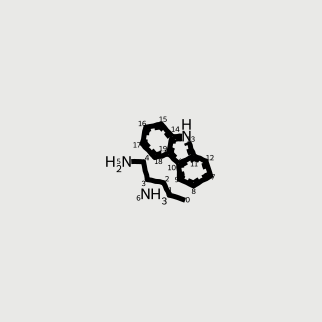 CCCCCN.N.c1ccc2c(c1)[nH]c1ccccc12